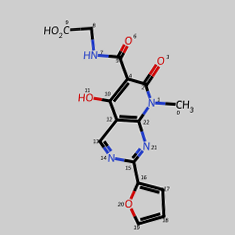 Cn1c(=O)c(C(=O)NCC(=O)O)c(O)c2cnc(-c3ccco3)nc21